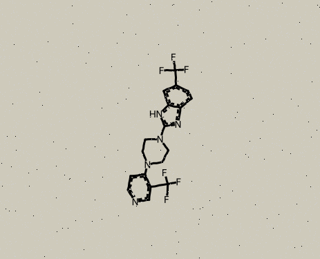 FC(F)(F)c1ccc2nc(N3CCN(c4ccncc4C(F)(F)F)CC3)[nH]c2c1